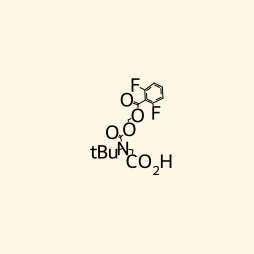 CC(C)(C)N(CC(=O)O)C(=O)OCOC(=O)c1c(F)cccc1F